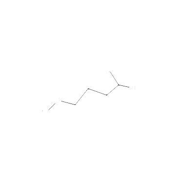 CC(=O)OCCCC(C)Cl